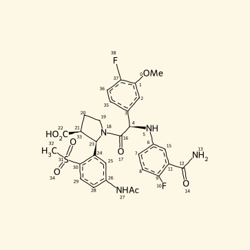 COc1cc([C@@H](Nc2ccc(F)c(C(N)=O)c2)C(=O)N2CC[C@H](C(=O)O)[C@@H]2c2cc(NC(C)=O)ccc2S(C)(=O)=O)ccc1F